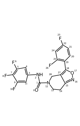 O=C(Nc1cc(F)c(F)c(F)c1)N1CCc2noc(-c3ccc(F)cc3F)c2C1